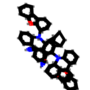 N#Cc1c(C#N)c(N(c2ccccc2-c2ccccc2)c2cccc3c2oc2ccccc23)c2c(c1N(c1ccccc1-c1ccccc1)c1cccc3c1oc1ccccc13)C1CCC2C1